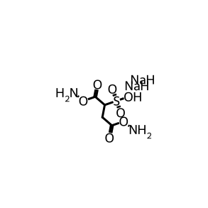 NOC(=O)CC(C(=O)ON)S(=O)(=O)O.[NaH].[NaH]